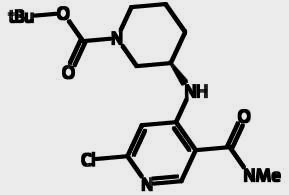 CNC(=O)c1cnc(Cl)cc1N[C@@H]1CCCN(C(=O)OC(C)(C)C)C1